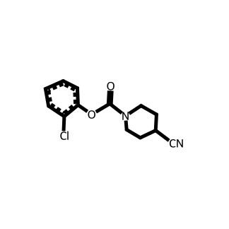 N#CC1CCN(C(=O)Oc2ccccc2Cl)CC1